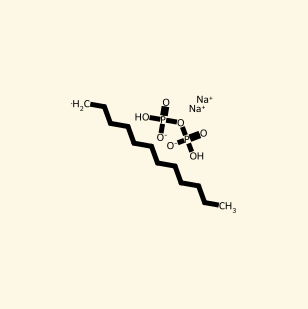 O=P([O-])(O)OP(=O)([O-])O.[CH2]CCCCCCCCCCC.[Na+].[Na+]